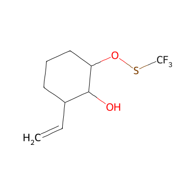 C=CC1CCCC(OSC(F)(F)F)C1O